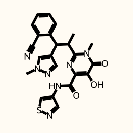 CC(c1nc(C(=O)Nc2cnsc2)c(O)c(=O)n1C)C(c1cnn(C)c1)c1ccccc1C#N